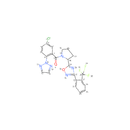 O=C(c1cc(Cl)ccc1-n1nccn1)N1CCCC1c1nc(-c2ccccc2C(F)(F)F)no1